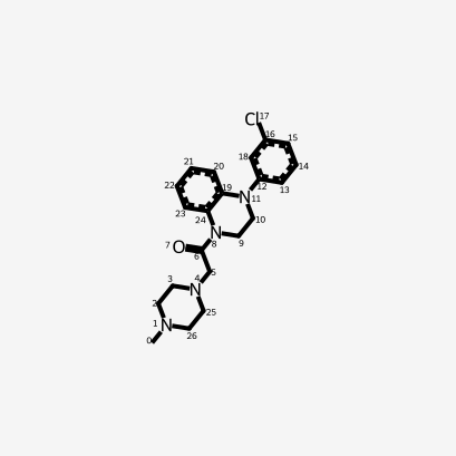 CN1CCN(CC(=O)N2CCN(c3cccc(Cl)c3)c3ccccc32)CC1